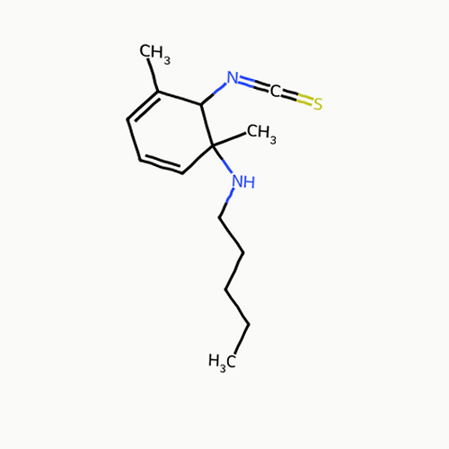 CCCCCNC1(C)C=CC=C(C)C1N=C=S